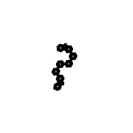 c1cc(-c2cccc(-c3cccc(-c4ccc5sc6ccccc6c5c4)c3)c2)cc(-c2cccc(-c3ccc4oc5ccncc5c4c3)c2)c1